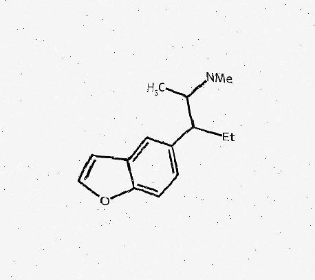 CCC(c1ccc2occc2c1)C(C)NC